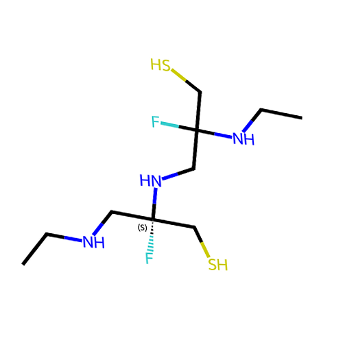 CCNC[C@](F)(CS)NCC(F)(CS)NCC